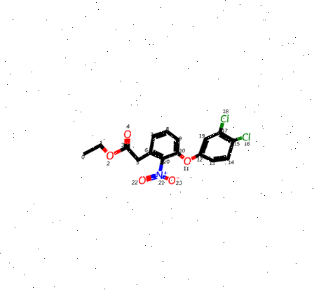 CCOC(=O)Cc1cccc(Oc2ccc(Cl)c(Cl)c2)c1[N+](=O)[O-]